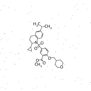 COC(=O)c1cc(S(=O)(=O)N2c3ccc(C(C)C)cc3CCC2C2CC2)ccc1OCC1CCOCC1